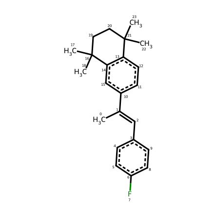 CC(=Cc1ccc(F)cc1)c1ccc2c(c1)C(C)(C)CCC2(C)C